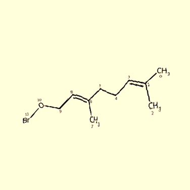 CC(C)=CCC/C(C)=C/COBr